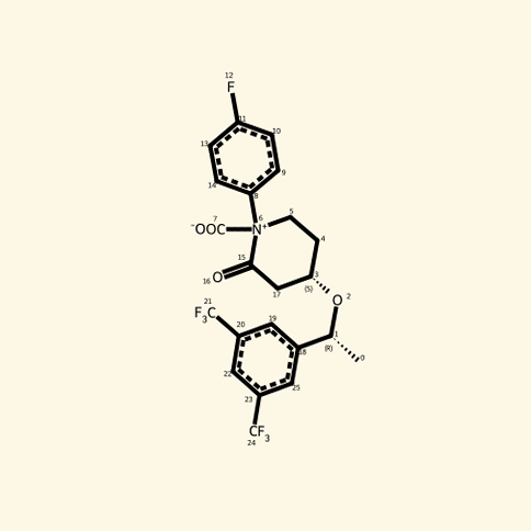 C[C@@H](O[C@H]1CC[N+](C(=O)[O-])(c2ccc(F)cc2)C(=O)C1)c1cc(C(F)(F)F)cc(C(F)(F)F)c1